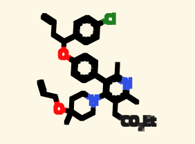 C=CCOC1(C)CCN(c2c(CC(=O)OCC)c(C)nc(C)c2-c2ccc(OC(CC=C)c3ccc(Cl)cc3)cc2)CC1